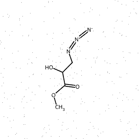 COC(=O)C(O)CN=[N+]=[N-]